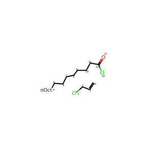 C=CCCl.CCCCCCCCCCCCCCCC(=O)Cl